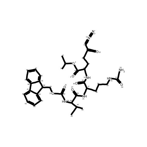 CC(C)OC(=O)C(CCC(=O)C=[N+]=[N-])NC(=O)C(CCCNC(N)=O)NC(=O)C(NC(=O)OCC1c2ccccc2-c2ccccc21)C(C)C